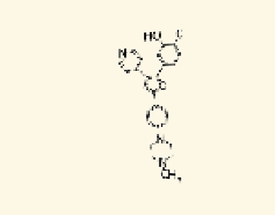 CN1CCN(c2ccc(-c3cc(-c4ccncc4)c(-c4ccc(Cl)c(O)c4)o3)cc2)CC1